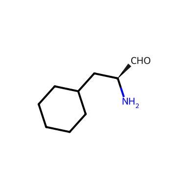 N[C@H](C=O)CC1CCCCC1